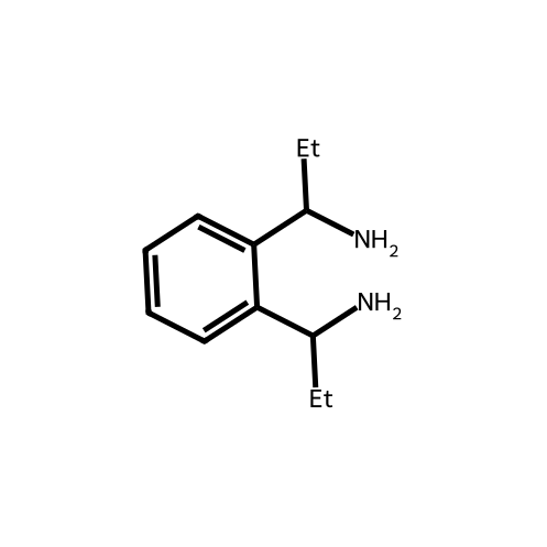 CCC(N)c1ccccc1C(N)CC